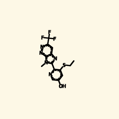 CCSc1cc(O)cnc1-c1nc2cc(C(F)(F)F)nnc2n1C